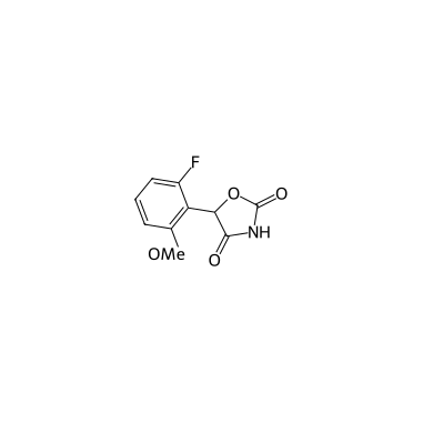 COc1cccc(F)c1C1OC(=O)NC1=O